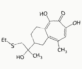 CCSCC(C)(O)C1CCc2c(c(C)cc(O)c(=O)c2O)C1